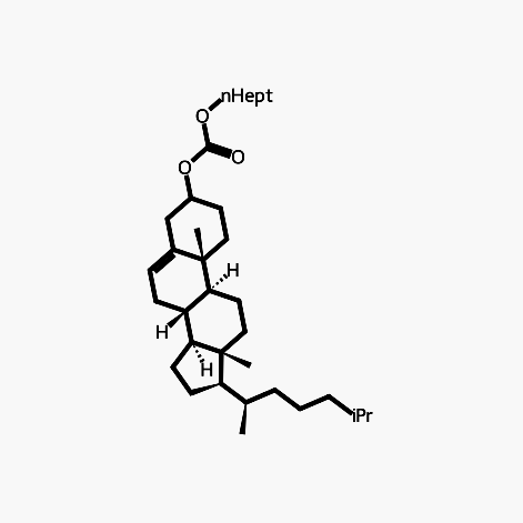 CCCCCCCOC(=O)OC1CC[C@@]2(C)C(=CC[C@H]3[C@@H]4CC[C@H]([C@H](C)CCCC(C)C)[C@@]4(C)CC[C@@H]32)C1